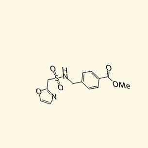 COC(=O)c1ccc(CNS(=O)(=O)Cc2ncco2)cc1